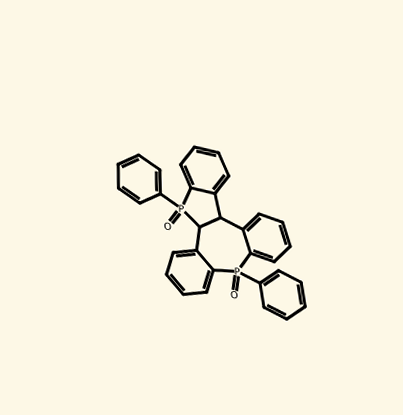 O=P1(c2ccccc2)c2ccccc2C2c3ccccc3P(=O)(c3ccccc3)C2c2ccccc21